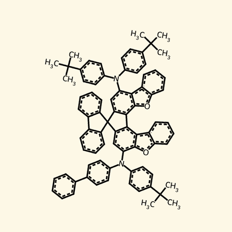 CC(C)(C)c1ccc(N(c2ccc(-c3ccccc3)cc2)c2cc3c(c4c2oc2ccccc24)-c2c(cc(N(c4ccc(C(C)(C)C)cc4)c4ccc(C(C)(C)C)cc4)c4c2oc2ccccc24)C32c3ccccc3-c3ccccc32)cc1